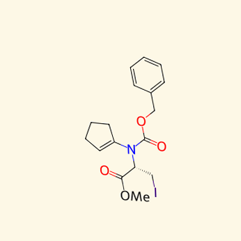 COC(=O)[C@@H](CI)N(C(=O)OCc1ccccc1)C1=CCCC1